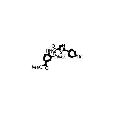 COC(=O)c1ccc(NS(=O)(=O)c2cnc(-c3ccc(Br)cc3)s2)c(OC)c1